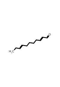 CCC=CCCCCC=CC=O